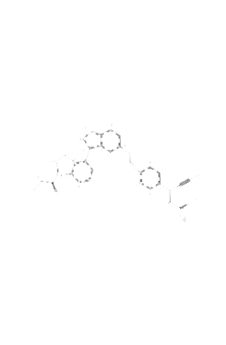 CC#C[C@@H](CC(=O)O)c1ccc(OCc2ccc3scc(-c4cccc5c4CCN5C(=O)CC)c3c2)cc1